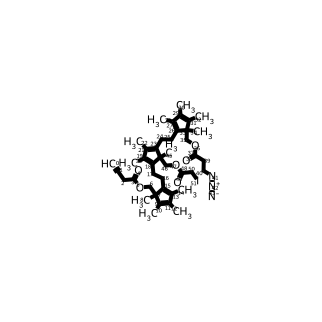 C#CCC(=O)OCC1(C)C(C)=C(C)C(C)=C1CCC1=C(C)C(C)=C(CCC2=C(C)C(C)=C(C)C2(C)COC(=O)CCN=[N+]=[N-])C1(C)COC(=O)CI